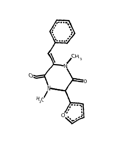 CN1C(=O)C(c2ccco2)N(C)C(=O)/C1=C/c1ccccc1